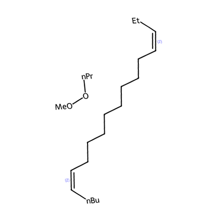 CC/C=C\CCCCCCCC/C=C\CCCC.CCCOOC